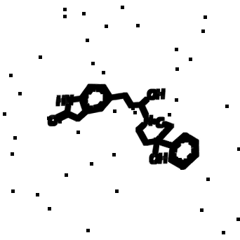 O=C1Cc2cc(CCC(O)N3CCC(O)(c4ccccc4)CC3)ccc2N1